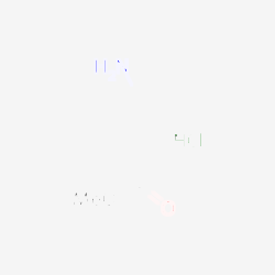 COC(=O)C1CCC(N)C1.Cl